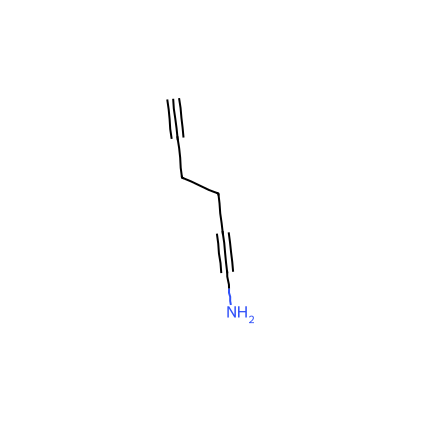 C#CCCC#CN